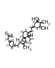 C=C1[C@H](O)CC(=C/C=C2\CCC[C@]3(C)[C@@H]([C@H](C)CCN4CC[C@@H](CC(F)F)C4)CC[C@@H]23)C[C@H]1O